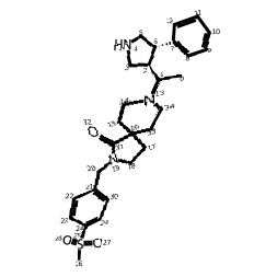 CC([C@H]1CNC[C@@H]1c1ccccc1)N1CCC2(CCN(Cc3ccc(S(C)(=O)=O)cc3)C2=O)CC1